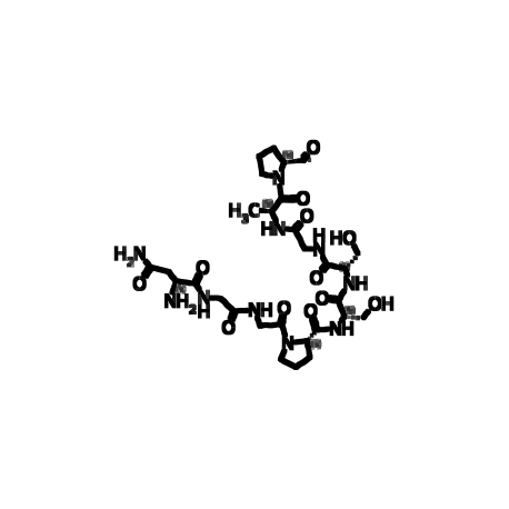 C[C@H](NC(=O)CNC(=O)[C@H](CO)NC(=O)[C@H](CO)NC(=O)[C@@H]1CCCN1C(=O)CNC(=O)CNC(=O)[C@@H](N)CC(N)=O)C(=O)N1CCC[C@H]1[C]=O